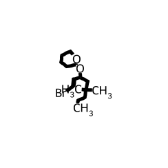 CCCC(C)(C)CC(C=CBr)OC1CCCCO1